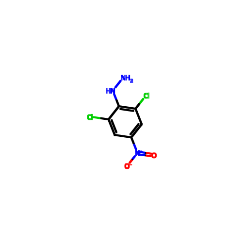 NNc1c(Cl)cc([N+](=O)[O-])cc1Cl